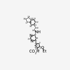 CCOc1cc(-c2cc(NCCc3ccc4c(c3)CCC4)ncn2)sc1C(=O)O